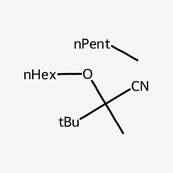 CCCCCC.CCCCCCOC(C)(C#N)C(C)(C)C